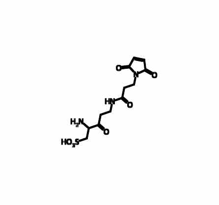 NC(CS(=O)(=O)O)C(=O)CCNC(=O)CCN1C(=O)C=CC1=O